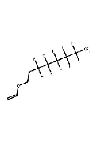 C=COCCC(F)(F)C(F)(F)C(F)(F)C(F)(F)C(F)(F)C(F)(F)F